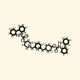 O=C(Nc1ccccc1-c1ccccc1)OC1CCC(Cc2cccc(CN3CCC(OC(=O)Nc4ccccc4-c4ccccc4)CC3)n2)CC1